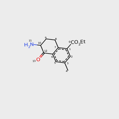 CCOC(=O)c1cc(C)cc2c1CCC(N)C2=O